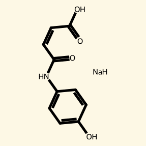 O=C(O)/C=C\C(=O)Nc1ccc(O)cc1.[NaH]